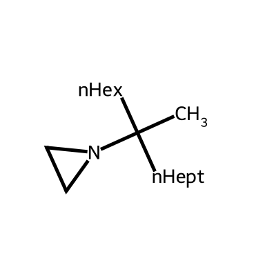 CCCCCCCC(C)(CCCCCC)N1CC1